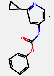 O=C(Nc1ccnc(C2CC2)c1)Oc1ccccc1